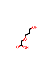 [O]C(O)COCCCO